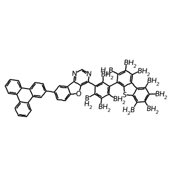 Bc1c(B)c(-c2ncnc3c2oc2ccc(-c4ccc5c6ccccc6c6ccccc6c5c4)cc23)c(B)c(-c2c(B)c(B)c(B)c3c2sc2c(B)c(B)c(B)c(B)c23)c1B